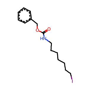 O=C(NCCCCCCCI)OCc1ccccc1